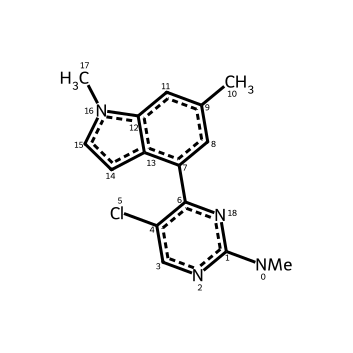 CNc1ncc(Cl)c(-c2cc(C)cc3c2ccn3C)n1